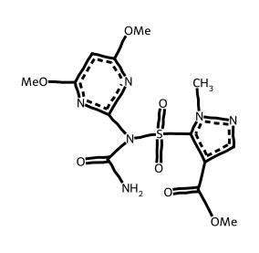 COC(=O)c1cnn(C)c1S(=O)(=O)N(C(N)=O)c1nc(OC)cc(OC)n1